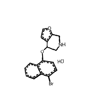 Brc1ccc(OC2CNCc3occc32)c2ccccc12.Cl